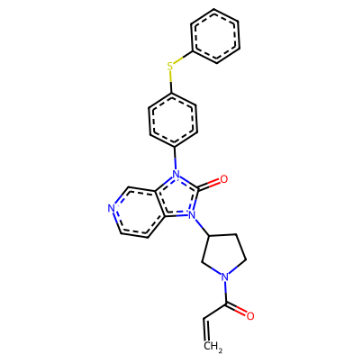 C=CC(=O)N1CCC(n2c(=O)n(-c3ccc(Sc4ccccc4)cc3)c3cnccc32)C1